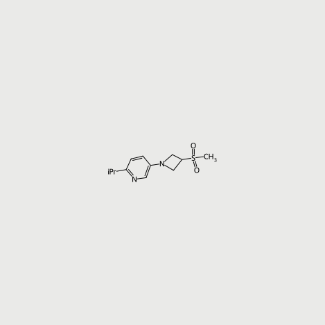 CC(C)c1ccc(N2CC(S(C)(=O)=O)C2)cn1